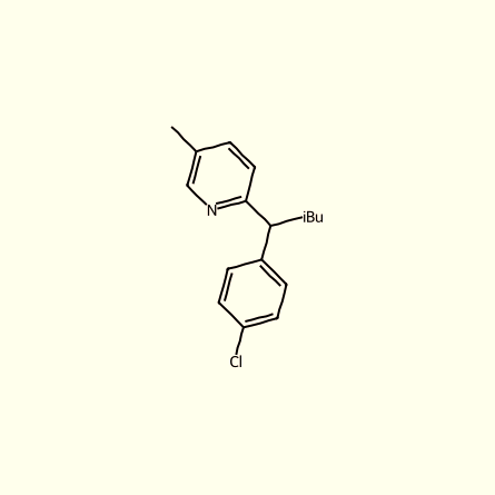 CCC(C)C(c1ccc(Cl)cc1)c1ccc(C)cn1